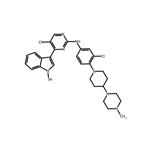 CC(C)n1cc(-c2nc(Nc3ccc(N4CCC(N5CCN(C)CC5)CC4)c(Cl)c3)ncc2Cl)c2ccccc21